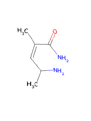 CC(=CC(C)N)C(N)=O